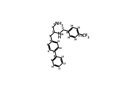 NCC(Cc1ccc(-c2ccccc2)cc1)NCc1ccc(C(F)(F)F)cc1